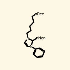 CCCCCCCCCCCCCCCN1C=CN(c2ccccc2)C1CCCCCCCCC